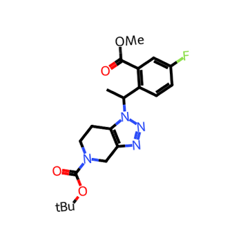 COC(=O)c1cc(F)ccc1C(C)n1nnc2c1CCN(C(=O)OC(C)(C)C)C2